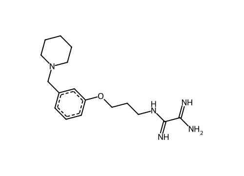 N=C(N)C(=N)NCCCOc1cccc(CN2CCCCC2)c1